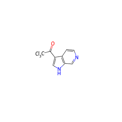 O=C(c1c[nH]c2cnccc12)C(Cl)(Cl)Cl